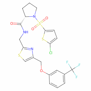 O=C(NCc1nc(COc2cccc(C(F)(F)F)c2)cs1)[C@@H]1CCCN1S(=O)(=O)c1ccc(Cl)s1